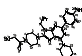 CC(C)Cn1c(N2CCN(C(=O)CC(C)(C)C)CC2)nc2c(N3CCOCC3)nc(-c3cnc(N)nc3)nc21